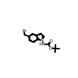 CC(C)(C)OC(=O)Nn1ccc2cc(CBr)ccc21